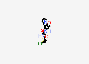 Cc1cc(NC(=O)C(C)(C)NC(=O)c2ccc(Cl)s2)ccc1C(=O)N1CCCCC1C